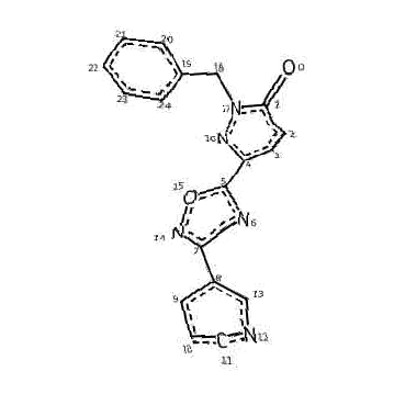 O=c1ccc(-c2nc(-c3cccnc3)no2)nn1Cc1ccccc1